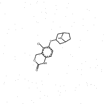 CN1C2CCC1CC(Sc1ccc3c(c1Cl)COC(=O)N3)C2